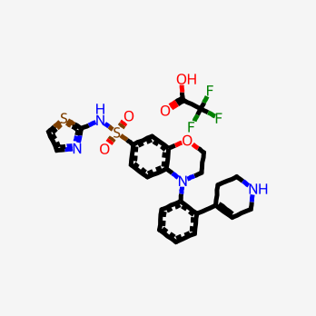 O=C(O)C(F)(F)F.O=S(=O)(Nc1nccs1)c1ccc2c(c1)OCCN2c1ccccc1C1=CCNCC1